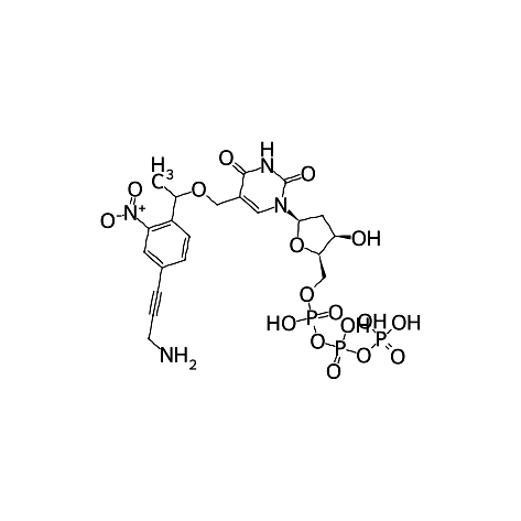 CC(OCc1cn([C@H]2C[C@@H](O)[C@@H](COP(=O)(O)OP(=O)(O)OP(=O)(O)O)O2)c(=O)[nH]c1=O)c1ccc(C#CCN)cc1[N+](=O)[O-]